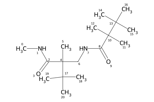 CNC(=O)C(C)(CNC(=O)C(C)(C)C(C)(C)C)C(C)(C)C